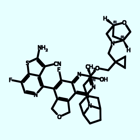 C[C@@H](O)CN1CC2CCC(C1)N2c1nc(OCC2(CN3C[C@H]4C[C@@H]3CO4)CC2)nc2c(F)c(-c3ncc(F)c4sc(N)c(C#N)c34)c3c(c12)COC3